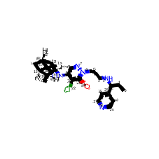 CCC(NCCn1ncc(N[C@@H]2C[C@H]3C[C@H]([C@@H]2C)C3(C)C)c(Cl)c1=O)c1ccncc1